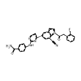 N#Cc1cc(-c2ccnc(Nc3ccc(C(N)=O)cc3)n2)cc2ccn(C(=O)Cc3ccccc3F)c12